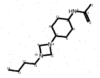 C=C(C)NC1CCC(N2CN(CCCC)C2)CC1